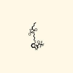 CCCC=C1SC(=O)N(CCCCSc2cccc3ncc(C(=O)C(F)(F)F)n23)C1=O